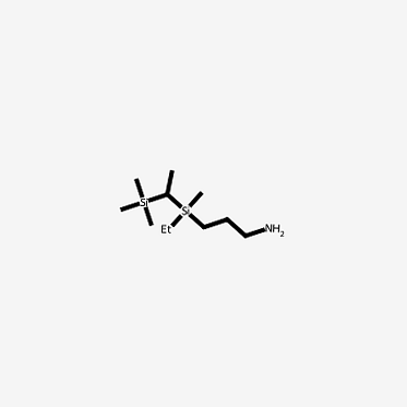 CC[Si](C)(CCCN)C(C)[Si](C)(C)C